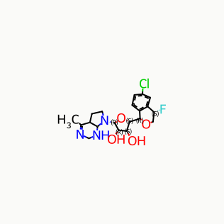 CC1=NCNC2C1CCN2[C@@H]1O[C@H]([C@@H]2OC[C@@H](F)c3cc(Cl)ccc32)[C@@H](O)[C@H]1O